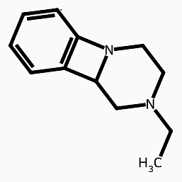 CCN1CCN2c3[c]cccc3C2C1